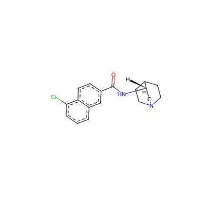 O=C(N[C@H]1CN2CCC1CC2)c1ccc2c(Cl)cccc2c1